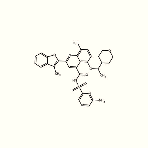 Cc1c(-c2cc(C(=O)NS(=O)(=O)c3cccc(N)n3)c3c(OC(C)C4CCOCC4)ccc(C)c3n2)oc2ccccc12